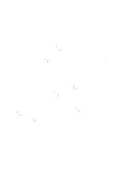 NC1(C(=O)N2CCC3(CC2)C(=O)N(Cc2ncc4cc(Cl)ccc4c2-c2cncnc2)c2cnccc23)CC1